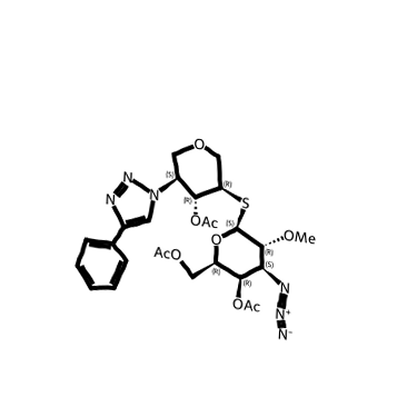 CO[C@@H]1[C@@H](N=[N+]=[N-])[C@@H](OC(C)=O)[C@@H](COC(C)=O)O[C@H]1S[C@@H]1COC[C@H](n2cc(-c3ccccc3)nn2)[C@H]1OC(C)=O